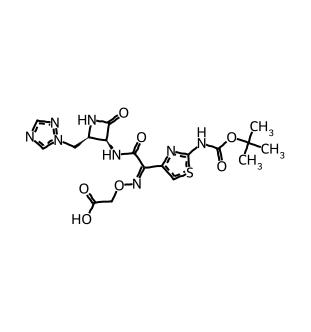 CC(C)(C)OC(=O)Nc1nc(C(=NOCC(=O)O)C(=O)N[C@@H]2C(=O)N[C@@H]2Cn2cncn2)cs1